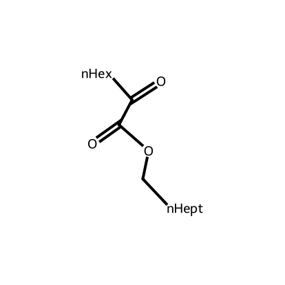 CCCCCCCCOC(=O)C(=O)CCCCCC